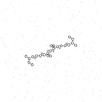 CC1(C)c2cc(-c3cc(-c4ccccc4)cc(-c4cccc(-c5ccccc5)c4)c3)ccc2-c2ccc(-c3ccc4c(c3)C(C)(C)c3cc(-c5cc6c(c7c5oc5ccccc57)-c5cc7c(cc5C6(C)C)-c5c(cc(-c6ccc8c(c6)C(C)(C)c6cc(-c9ccc%10c(c9)C(C)(C)c9cc(-c%11cc(-c%12ccccc%12)cc(-c%12cccc(-c%13ccccc%13)c%12)c%11)ccc9-%10)ccc6-8)c6oc8ccccc8c56)C7(C)C)ccc3-4)cc21